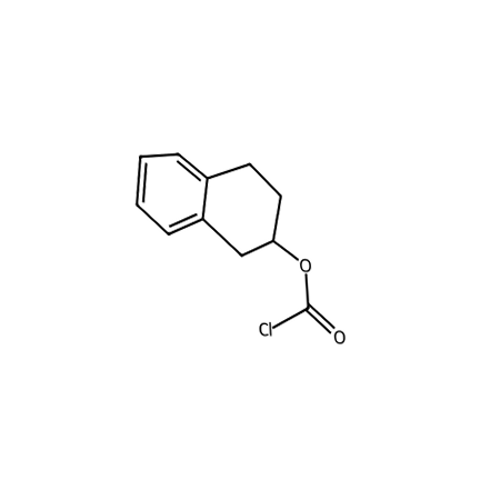 O=C(Cl)OC1CCc2ccccc2C1